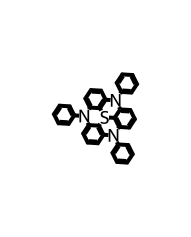 CS12c3c4cccc3N(c3ccccc3)c3cccc(c31)N(c1ccccc1)c1cccc(c12)N4c1ccccc1